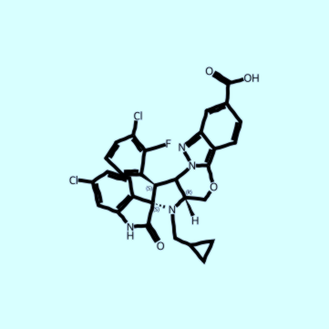 O=C(O)c1ccc2c3n(nc2c1)C1[C@H](CO3)N(CC2CC2)[C@@]2(C(=O)Nc3cc(Cl)ccc32)[C@H]1c1cccc(Cl)c1F